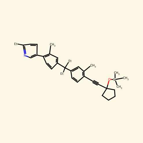 CCc1ccc(-c2ccc(C(CC)(CC)c3ccc(C#CC4(O[Si](C)(C)C)CCCC4)c(C)c3)cc2C)cn1